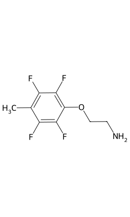 Cc1c(F)c(F)c(OCCN)c(F)c1F